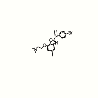 Cc1cc(OCCN(C)C)c2oc(Nc3ccc(Br)cc3)nc2c1